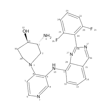 N[C@@H]1CN(c2ccncc2Nc2cccc3cnc(-c4c(F)cccc4F)nc23)CC[C@H]1O